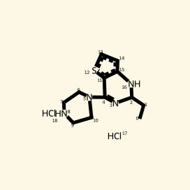 CCC1N=C(N2CCNCC2)c2sccc2N1.Cl.Cl